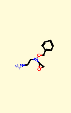 NCCN(OCc1ccccc1)C1CO1